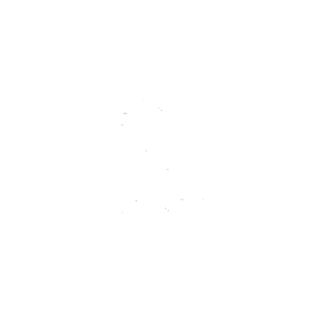 CC(C)N1C[C@H](CCC(C)N2CCOC[C@H]2C)O[C@H](C)C1